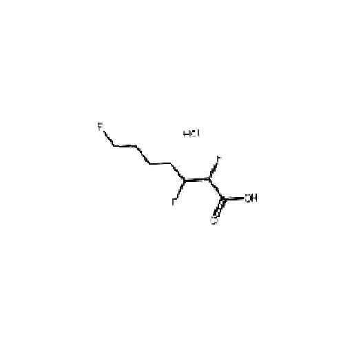 Cl.O=C(O)C(F)C(F)CCCCF